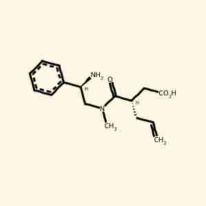 C=CC[C@@H](CC(=O)O)C(=O)N(C)C[C@H](N)c1ccccc1